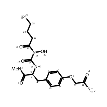 CNC(=O)[C@H](Cc1ccc(OCC(N)=O)cc1)NC(=O)N(O)C(=O)CCCC(C)C